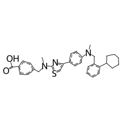 CN(Cc1ccccc1C1CCCCC1)c1ccc(-c2csc(N(C)Cc3ccc(C(=O)O)cc3)n2)cc1